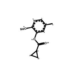 COc1ncc(C)cc1OC(=O)C1CC1